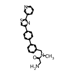 CN(Cc1cccc(-c2ccc(-c3csc(-c4cccnc4)n3)cc2)c1)C(=O)CN